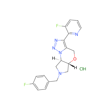 Cl.Fc1ccc(CN2C[C@@H]3[C@@H](C2)OCc2c(-c4ncccc4F)nnn23)cc1